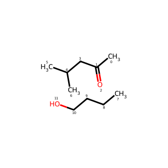 CC(=O)CC(C)C.CCCCO